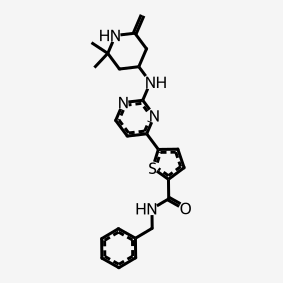 C=C1CC(Nc2nccc(-c3ccc(C(=O)NCc4ccccc4)s3)n2)CC(C)(C)N1